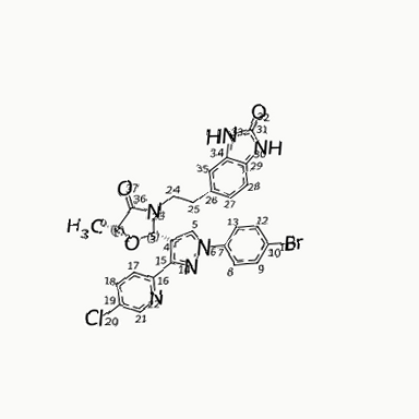 C[C@H]1O[C@@H](c2cn(-c3ccc(Br)cc3)nc2-c2ccc(Cl)cn2)N(CCc2ccc3[nH]c(=O)[nH]c3c2)C1=O